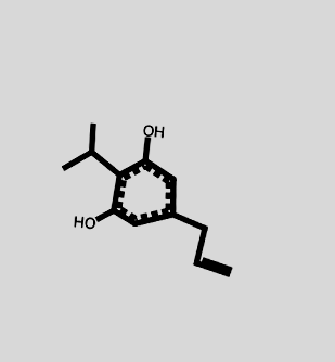 C=CCc1cc(O)c(C(C)C)c(O)c1